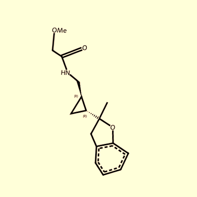 COCC(=O)NC[C@@H]1C[C@H]1C1(C)Cc2ccccc2O1